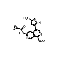 CNc1ncc(-c2cc(C)n[nH]2)c2cc(NC(=O)C3CC3)ncc12